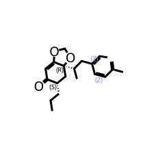 C=C(C)/C=C\C(=C/C)CC(C)[C@]12C[C@H](CCC)C(=O)C=C1OCO2